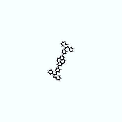 c1ccc(-c2nc3ncccn3c2-c2ccc(-c3cc4ccc5cc(-c6ccc(-c7c(-c8ccccc8)nc8ncccn78)cc6)cc6ccc(c3)c4c56)cc2)cc1